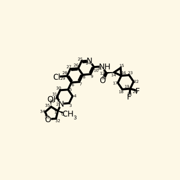 C[C@@]1(N2CCC(c3cc4cc(NC(=O)[C@H]5CC56CCC(F)(F)CC6)ncc4cc3Cl)CC2)COC[C@@H]1O